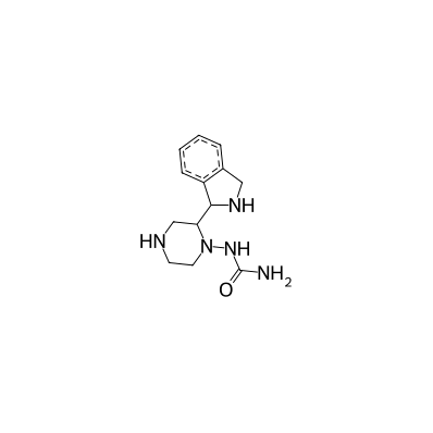 NC(=O)NN1CCNCC1C1NCc2ccccc21